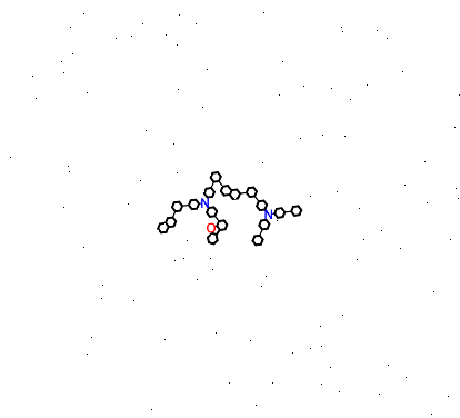 c1ccc(-c2ccc(N(c3ccc(-c4ccccc4)cc3)c3ccc(-c4cccc(-c5ccc6ccc(-c7ccccc7-c7ccc(N(c8ccc(-c9cccc(-c%10ccc%11ccccc%11c%10)c9)cc8)c8ccc(-c9cccc%10c9oc9ccccc9%10)cc8)cc7)cc6c5)c4)cc3)cc2)cc1